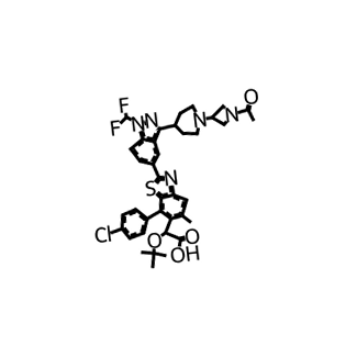 CC(=O)N1CC(N2CCC(c3nn(C(F)F)c4ccc(-c5nc6cc(C)c(C(OC(C)(C)C)C(=O)O)c(-c7ccc(Cl)cc7)c6s5)cc34)CC2)C1